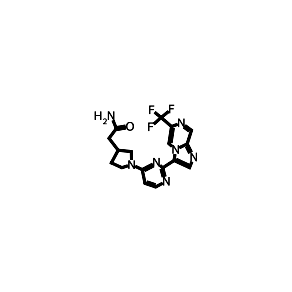 NC(=O)CC1CCN(c2ccnc(-c3cnc4cnc(C(F)(F)F)cn34)n2)C1